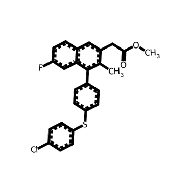 COC(=O)Cc1cc2ccc(F)cc2c(-c2ccc(Sc3ccc(Cl)cc3)cc2)c1C